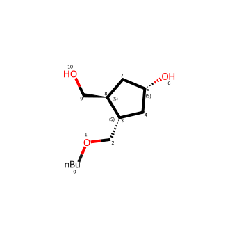 CCCCOC[C@H]1C[C@@H](O)C[C@@H]1CO